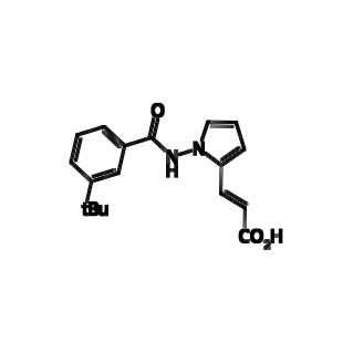 CC(C)(C)c1cccc(C(=O)Nn2cccc2C=CC(=O)O)c1